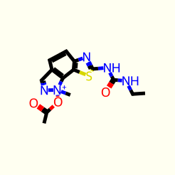 CCNC(=O)Nc1nc2ccc3c(c2s1)[N+](C)(OC(C)=O)N=C3